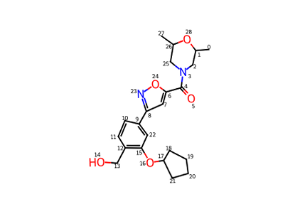 CC1CN(C(=O)c2cc(-c3ccc(CO)c(OC4CCCC4)c3)no2)CC(C)O1